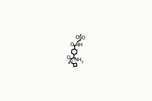 CN(C(=O)[C@@H](N)C1CCC(C(=O)NCCS(C)(=O)=O)CC1)C1CCC1